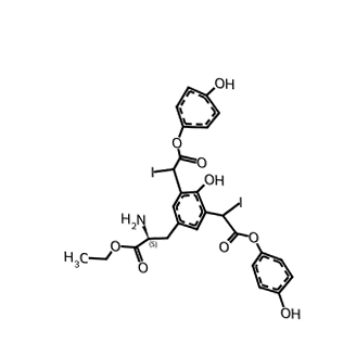 CCOC(=O)[C@@H](N)Cc1cc(C(I)C(=O)Oc2ccc(O)cc2)c(O)c(C(I)C(=O)Oc2ccc(O)cc2)c1